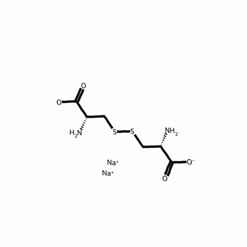 N[C@@H](CSSC[C@H](N)C(=O)[O-])C(=O)[O-].[Na+].[Na+]